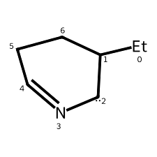 CCC1[C]N=CCC1